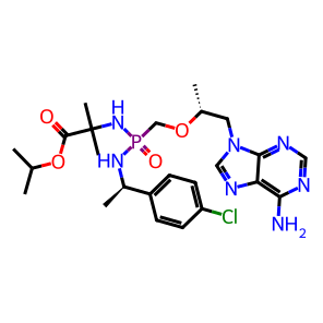 CC(C)OC(=O)C(C)(C)NP(=O)(CO[C@H](C)Cn1cnc2c(N)ncnc21)N[C@H](C)c1ccc(Cl)cc1